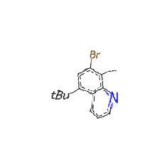 Cc1c(Br)cc(C(C)(C)C)c2cccnc12